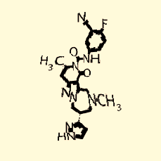 C[C@@H]1Cc2nn3c(c2C(=O)N1C(=O)Nc1ccc(F)c(C#N)c1)CN(C)C[C@H](c1cc[nH]n1)C3